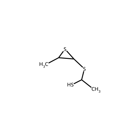 CC(S)SC1SC1C